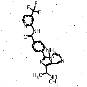 CNC(C)C1=C2C=NC=C[N+]2(N)C(c2ccc(C(=O)Nc3cc(C(F)(F)F)ccn3)cc2)=N1